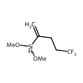 C=C(CCC(F)(F)F)[SiH](OC)OC